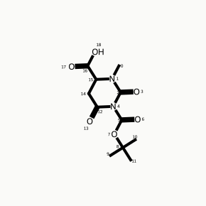 CN1C(=O)N(C(=O)OC(C)(C)C)C(=O)CC1C(=O)O